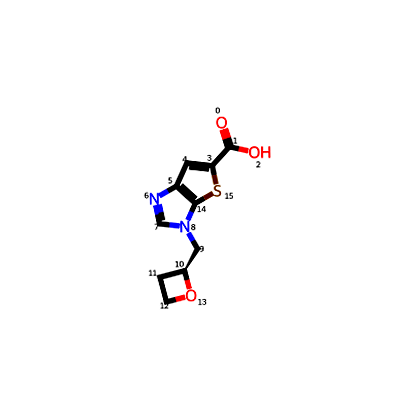 O=C(O)c1cc2ncn(C[C@@H]3CCO3)c2s1